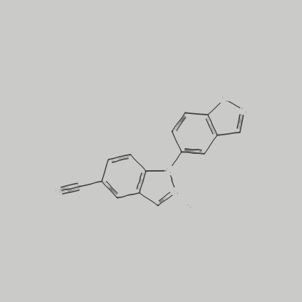 N.N#Cc1ccc2c(cnn2-c2ccc3[nH]ncc3c2)c1